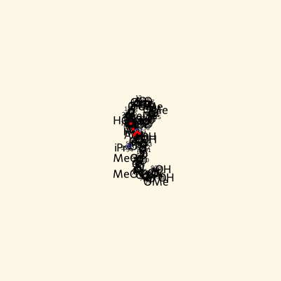 COC1CC(OC2C(C)OC(OC3C(C)OC(OC4CC[C@@]5(C)C(=CC[C@]6(O)C5C[C@@H](OC(=O)/C=C(\C)C(C)C5[C@]7(O)CC[C@@](O)(C(C)=O)[C@@]5(C)[C@H](OC(=O)/C=C(\C)C(C)C)CC5[C@@]8(C)CCC(OC9CC(OC)C(OC%10CC(OC)C(OC%11CC(OC)C(OC%12CC(CO)C(O)C(C)O%12)C(C)O%11)C(C)O%10)C(C)O9)CC8=CC[C@]57O)[C@@]5(C)[C@]6(O)CC[C@@]5(C)C(C)=O)C4)CC3OC)CC2OC)OC(C)C1OC1CC(CO)C(O)C(C)O1